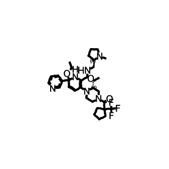 CCOC1(c2cccnc2)C=CC(N2CCN(C(=O)C3(C(F)(F)F)CCCC3)C[C@H]2CC)=C(C(=O)NC[C@H]2CCCN2C)N1